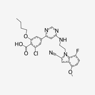 CCCCOc1cc(-c2cc(NCCn3c(C#N)cc4c(OC)ccc(F)c43)ncn2)cc(Cl)c1C(=O)O